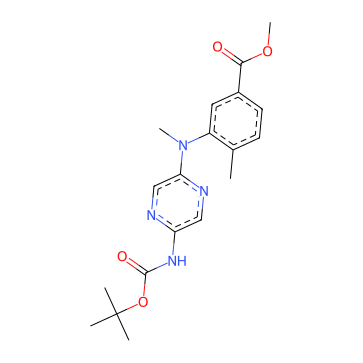 COC(=O)c1ccc(C)c(N(C)c2cnc(NC(=O)OC(C)(C)C)cn2)c1